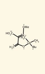 C=C(O[Si](C)(C)C(C)(C)C)C(=NOC)C(=O)O